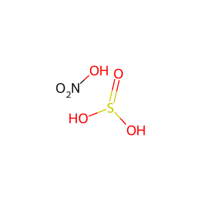 O=S(O)O.O=[N+]([O-])O